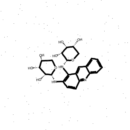 O[C@@H]1[C@H](O)[C@H](O)CO[C@@H]1Nc1ccc2nc3ccccc3cc2c1N[C@H]1OC[C@@H](O)[C@@H](O)[C@H]1O